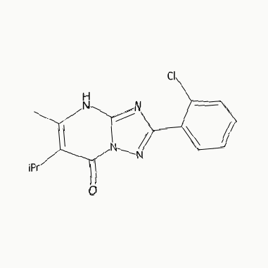 Cc1[nH]c2nc(-c3ccccc3Cl)nn2c(=O)c1C(C)C